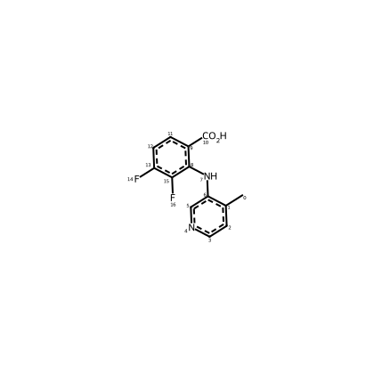 Cc1ccncc1Nc1c(C(=O)O)ccc(F)c1F